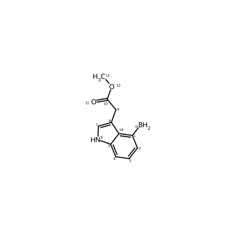 Bc1cccc2[nH]cc(CC(=O)OC)c12